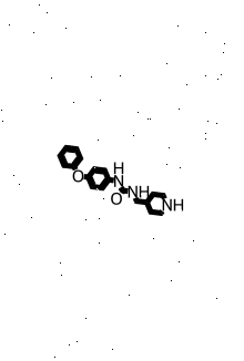 O=C(NCC1CCNCC1)Nc1ccc(Oc2ccccc2)cc1